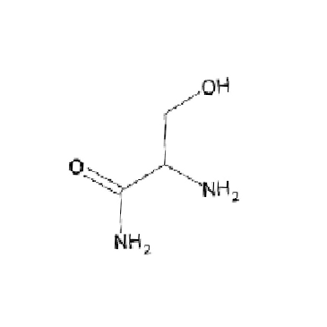 NC(=O)C(N)CO